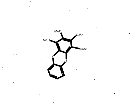 COc1c(OC)c(OC)c2c(c1OC)Sc1ccccc1S2